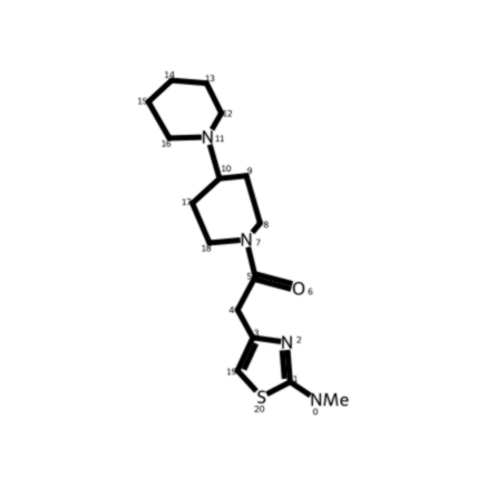 CNc1nc(CC(=O)N2CCC(N3CCCCC3)CC2)cs1